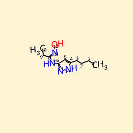 CCCCc1cc(NC(CC)=NO)n[nH]1